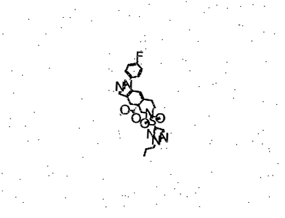 CCCn1ncc(S(=O)(=O)N2CCC3=Cc4c(cnn4-c4ccc(F)cc4)C[C@]3(C(=O)OC)C2)n1